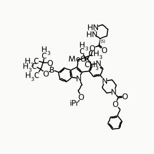 CO[C@@H](C)c1ncc(N2CCN(C(=O)OCc3ccccc3)CC2)cc1-c1c(CC(C)(C)COC(=O)[C@@H]2CCCNN2)c2cc(B3OC(C)(C)C(C)(C)O3)ccc2n1CCOC(C)C